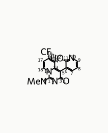 CNc1nc(=O)c(-c2cccnc2O)c2cc(C(F)(F)F)ccn12